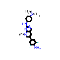 CC(C)N1CC(c2cc(F)c(N)c(F)c2)=Cc2cnc(NC3CCC(N(C)C)CC3)nc21